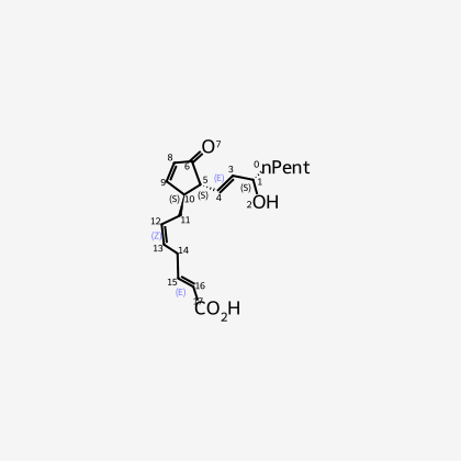 CCCCC[C@H](O)/C=C/[C@H]1C(=O)C=C[C@@H]1C/C=C\C/C=C/C(=O)O